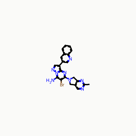 Cc1ncc2c(n1)CN(c1nc3c(-c4cnc5ccccc5c4)cnn3c(N)c1Br)C2